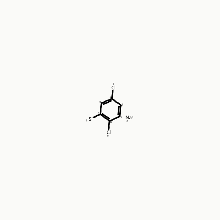 [Na+].[S-]c1cc(Cl)ccc1Cl